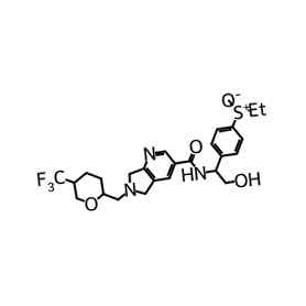 CC[S+]([O-])c1ccc(C(CO)NC(=O)c2cnc3c(c2)CN(CC2CCC(C(F)(F)F)CO2)C3)cc1